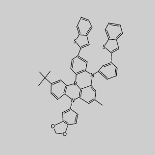 Cc1cc2c3c(c1)N(c1cccc(-c4cc5ccccc5s4)c1)c1cc(-c4cc5ccccc5s4)ccc1B3c1cc(C(C)(C)C)ccc1N2c1ccc2c(c1)OCO2